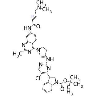 Cc1nc(N2CC[C@@H](Nc3ncc(Cl)c(-c4cn(C(=O)OC(C)(C)C)c5ccccc45)n3)C2)c2ccc(NC(=O)/C=C/CN(C)C)cc2n1